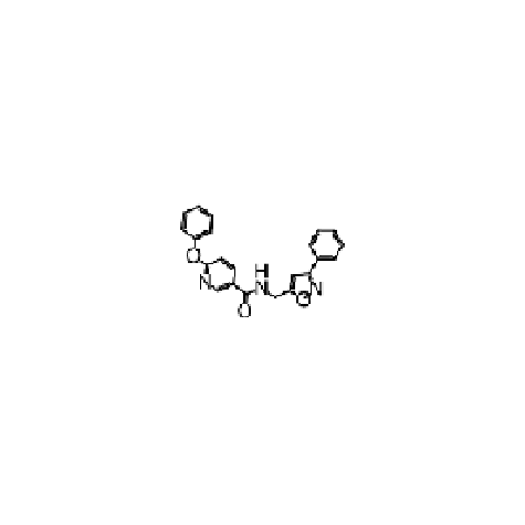 O=C(NCc1cc(-c2ccccc2)no1)c1ccc(Oc2ccccc2)nc1